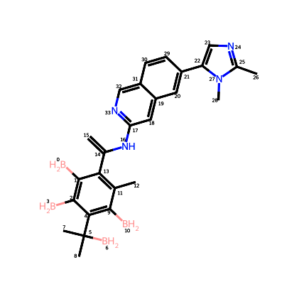 Bc1c(B)c(C(B)(C)C)c(B)c(C)c1C(=C)Nc1cc2cc(-c3cnc(C)n3C)ccc2cn1